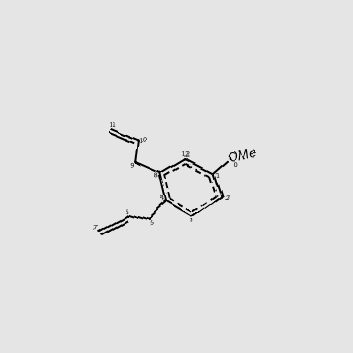 [CH2]Oc1ccc(CC=C)c(CC=C)c1